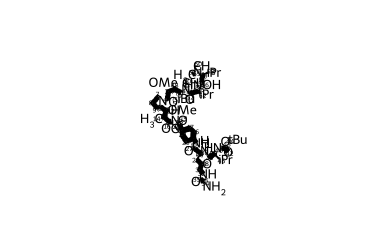 CC[C@H](C)[C@@H]([C@@H](CC(=O)N1CCC[C@H]1[C@H](OC)[C@@H](C)C(=O)NS(=O)(=O)c1ccc(NC(=O)[C@H](CCCNC(N)=O)NC(=O)[C@@H](NC(=O)OC(C)(C)C)C(C)C)cc1)OC)N(C)C(=O)[C@@H](NC(O)[C@H](C(C)C)N(C)C)C(C)C